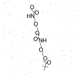 COCC(=O)NCCOCCOCC(=O)NCCOCCOCC(=O)C(C)(C)C